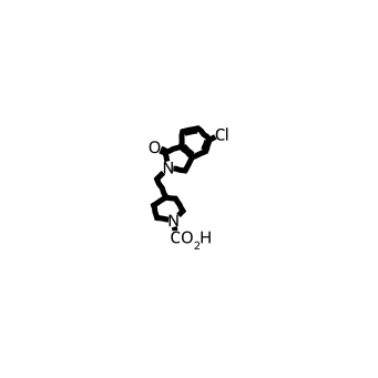 O=C(O)N1CCC(CN2Cc3cc(Cl)ccc3C2=O)CC1